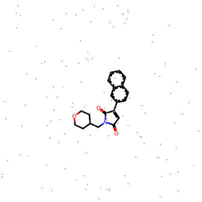 O=C1C=C(c2ccc3ccccc3c2)C(=O)N1CC1CCOCC1